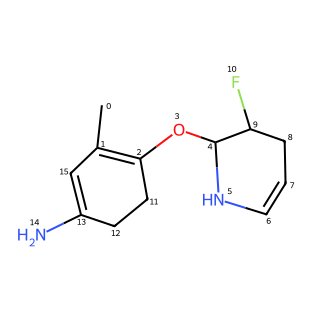 CC1=C(OC2NC=CCC2F)CCC(N)=C1